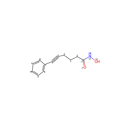 O=C(CCCC#Cc1ccccc1)NO